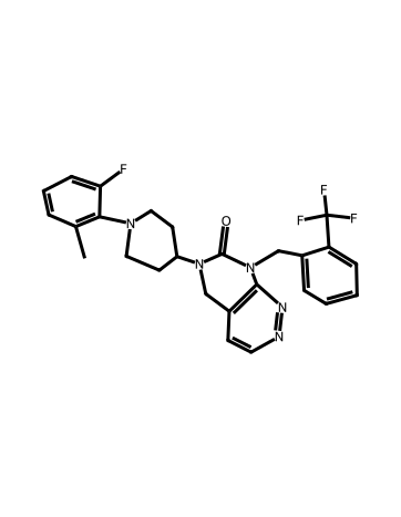 Cc1cccc(F)c1N1CCC(N2Cc3ccnnc3N(Cc3ccccc3C(F)(F)F)C2=O)CC1